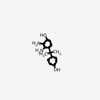 CC(C)(c1ccc(O)cc1)c1ccc(O)c(N)c1N